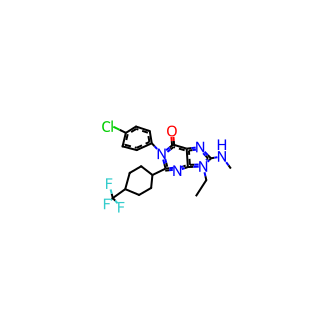 CCn1c(NC)nc2c(=O)n(-c3ccc(Cl)cc3)c(C3CCC(C(F)(F)F)CC3)nc21